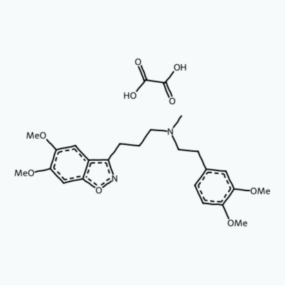 COc1ccc(CCN(C)CCCc2noc3cc(OC)c(OC)cc23)cc1OC.O=C(O)C(=O)O